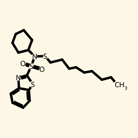 CCCCCCCCCSN(C1CCCCC1)S(=O)(=O)c1nc2ccccc2s1